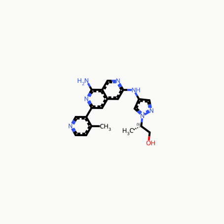 Cc1ccncc1-c1cc2cc(Nc3cnn([C@@H](C)CO)c3)ncc2c(N)n1